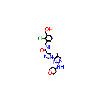 Cc1cnc(NC2CCOCC2)nc1-n1cnc(C(=O)NCc2cccc(CO)c2Cl)c1